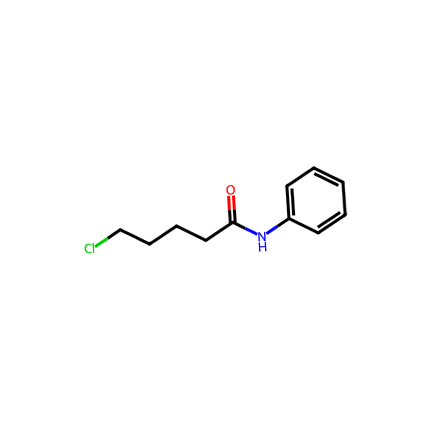 O=C(CCCCCl)Nc1ccccc1